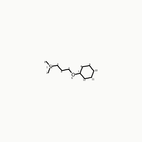 C[Si](C)CCCOC1CCCCC1